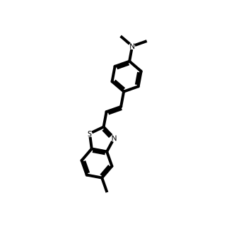 Cc1ccc2sc(C=Cc3ccc(N(C)C)cc3)nc2c1